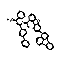 C=C(/N=C(\N=C(/N)c1cccc2oc3cc(-c4ccc5c6c(cccc46)-c4ccccc4-5)ccc3c12)c1ccc(-c2ccccc2)cc1)c1ccccc1